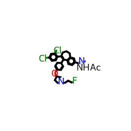 C/N=C(\NC(C)=O)c1ccc2c(c1)CCCC(c1ccc(Cl)cc1Cl)=C2C1C=CC(OC2CCN(CCCF)C2)=CC1